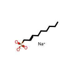 CCCCCCC=CCS(=O)(=O)[O-].[Na+]